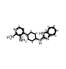 Nc1nccc(C2CCC(Nc3nc4ccccc4[nH]3)CC2)c1N